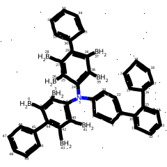 Bc1c(B)c(N(c2ccc(-c3ccccc3-c3ccccc3)cc2)c2c(B)c(B)c(-c3ccccc3)c(B)c2B)c(B)c(B)c1-c1ccccc1